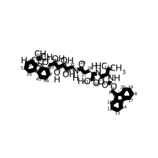 CC(C)[C@H](NC(=O)OCC1c2ccccc2-c2ccccc21)C(=O)N[C@@H](CCC(=O)NC[C@H](O)[C@@H](O)[C@H](O)[C@H](O)CO[Si](c1ccccc1)(c1ccccc1)C(C)(C)C)C(=O)O